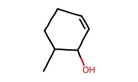 CC1CCC=CC1O